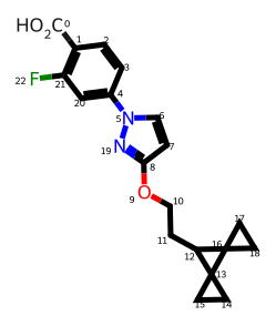 O=C(O)c1ccc(-n2ccc(OCCC3C4(CC4)C34CC4)n2)cc1F